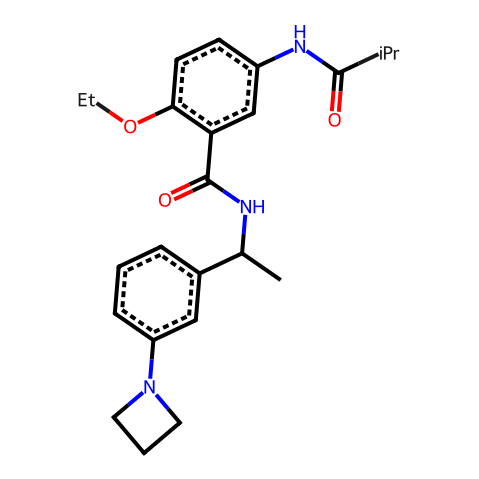 CCOc1ccc(NC(=O)C(C)C)cc1C(=O)NC(C)c1cccc(N2CCC2)c1